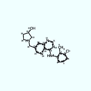 Cc1c(Cl)cccc1Nc1ncnc2cc(CN3CC[C@@H](O)C3)cnc12